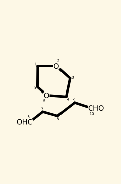 C1COCCO1.O=CCCCC=O